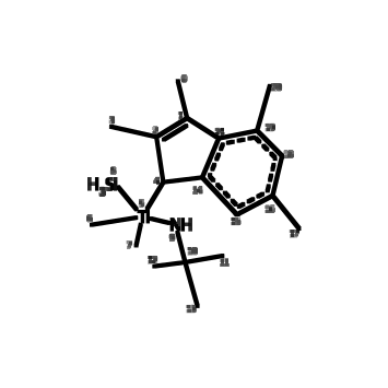 CC1=C(C)[CH]([Ti]([CH3])([CH3])([SiH3])[NH]C(C)(C)C)c2cc(C)cc(C)c21